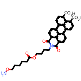 NOCCCCCC(=O)OCCCCN1C(=O)c2ccc3c4ccc(C(=O)O)c5c(C(=O)O)ccc(c6ccc(c2c36)C1=O)c54